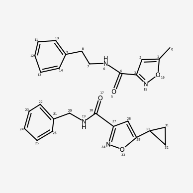 Cc1cc(C(=O)NCCc2ccccc2)no1.O=C(NCc1ccccc1)c1cc(C2CC2)on1